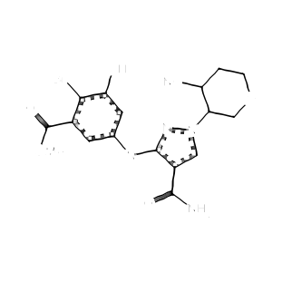 COC(=O)c1cc(Nc2nn(C3COCCC3C#N)cc2C(N)=O)cc(C)c1Br